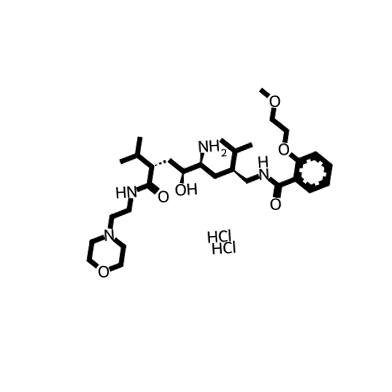 COCCOc1ccccc1C(=O)NC[C@@H](C[C@H](N)[C@@H](O)C[C@H](C(=O)NCCN1CCOCC1)C(C)C)C(C)C.Cl.Cl